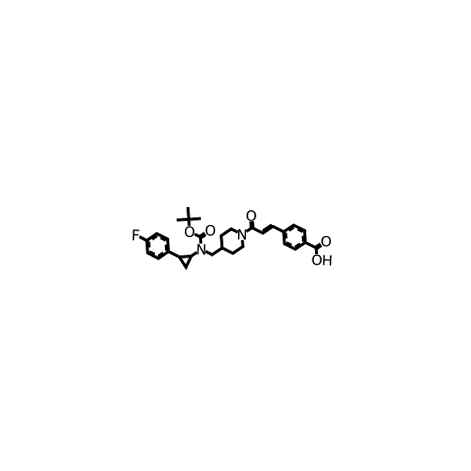 CC(C)(C)OC(=O)N(CC1CCN(C(=O)/C=C/c2ccc(C(=O)O)cc2)CC1)C1CC1c1ccc(F)cc1